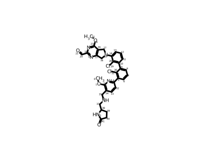 COc1nc(-c2cccc(-c3cccc(N4Cc5nc(C=O)nc(OC)c5C4)c3Cl)c2Cl)ccc1CNCC1CCC(=O)N1